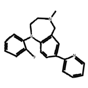 CN1CCN(c2ccccc2F)c2ccc(-c3ccccn3)cc2C1